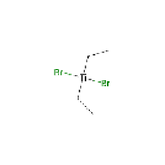 C[CH2][Ti]([Br])([Br])[CH2]C